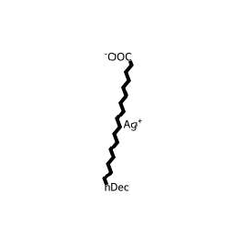 CCCCCCCCCCCCCCCCCCCCCCCCCCC(=O)[O-].[Ag+]